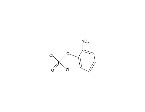 O=[N+]([O-])c1ccccc1OP(=O)(Cl)Cl